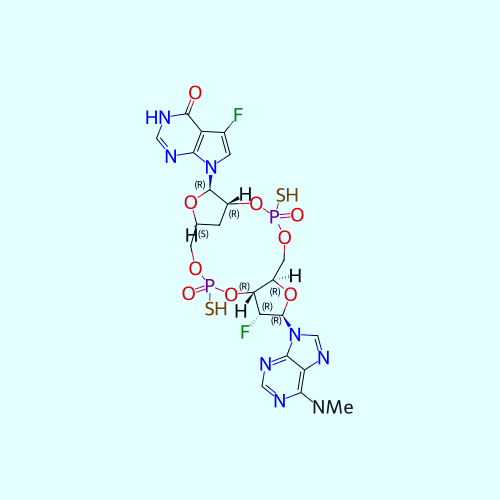 CNc1ncnc2c1ncn2[C@@H]1O[C@@H]2COP(=O)(S)O[C@@H]3C[C@@H](COP(=O)(S)O[C@H]2[C@H]1F)O[C@H]3n1cc(F)c2c(=O)[nH]cnc21